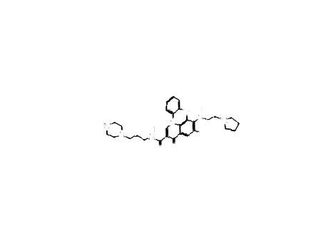 CN1CCN(CCCNC(=O)c2cn3c4c(c(NCCN5CCCC5)c(F)cc4c2=O)Oc2ccccc2-3)CC1